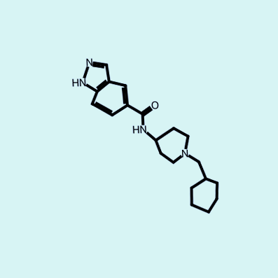 O=C(NC1CCN(CC2CCCCC2)CC1)c1ccc2[nH]ncc2c1